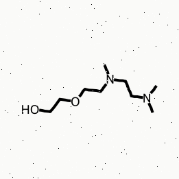 CN(C)CCN(C)CCOCCO